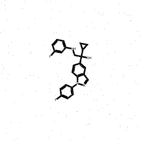 OC(CNc1cccc(F)c1)(c1ccc2c(cnn2-c2ccc(F)cc2)c1)C1CC1